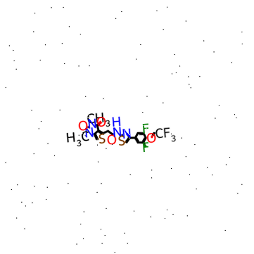 Cn1c(=O)c2c(CC(=O)Nc3nc(-c4cc(F)c(OCC(F)(F)F)c(F)c4)cs3)scc2n(C)c1=O